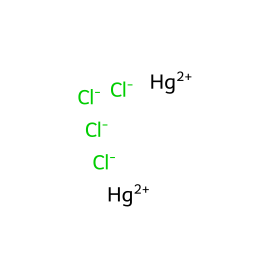 [Cl-].[Cl-].[Cl-].[Cl-].[Hg+2].[Hg+2]